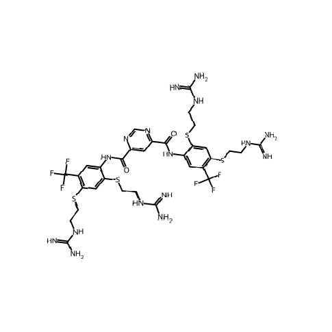 N=C(N)NCCSc1cc(SCCNC(=N)N)c(C(F)(F)F)cc1NC(=O)c1cc(C(=O)Nc2cc(C(F)(F)F)c(SCCNC(=N)N)cc2SCCNC(=N)N)ncn1